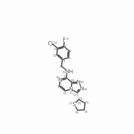 Fc1ccc(CNc2nccn3c([C@@H]4CCCS4)nnc23)cc1Cl